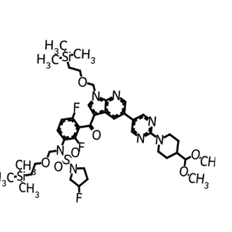 COC(OC)C1CCN(c2ncc(-c3cnc4c(c3)c(C(=O)c3c(F)ccc(N(COCC[Si](C)(C)C)S(=O)(=O)N5CCC(F)C5)c3F)cn4COCC[Si](C)(C)C)cn2)CC1